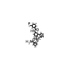 Cn1nccc1-c1cc(NC(=O)c2cccc(CF)c2)ccc1OCCN1CCC[C@@H]1C(N)=O